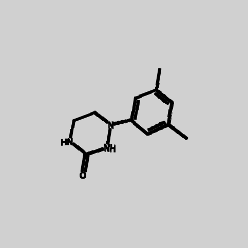 Cc1cc(C)cc(N2CCNC(=O)N2)c1